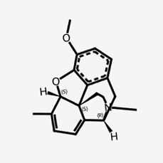 COc1ccc2c3c1O[C@H]1C(C)=CC=C4[C@@H](C2)N(C)CC[C@]431